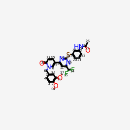 COc1ccc(Cn2cc(-c3cc(C(F)F)nc(Sc4cccc(NC(C)=O)c4)n3)ccc2=O)cc1OC